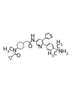 CN(C(=O)C1CC1)C1CCC(CC(=O)Nc2cnc(-c3ccc(C(C)(C)N)cc3)c(-c3ccsc3)c2)CC1